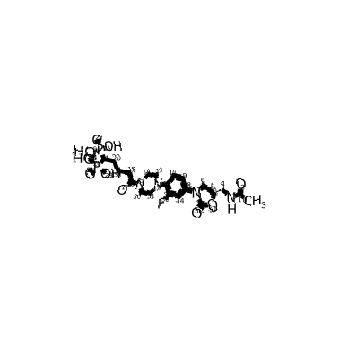 CC(=O)NC[C@H]1CN(c2ccc(N3CCN(C(=O)CCCC(P(=O)(O)O)P(=O)(O)O)CC3)c(F)c2)C(=O)O1